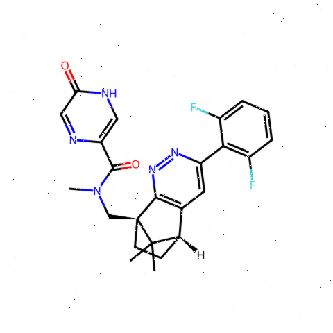 CN(C[C@@]12CC[C@@H](c3cc(-c4c(F)cccc4F)nnc31)C2(C)C)C(=O)c1c[nH]c(=O)cn1